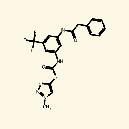 C[n+]1cc([N-]C(=O)Nc2cc(NC(=O)Cc3ccccc3)cc(C(F)(F)F)c2)on1